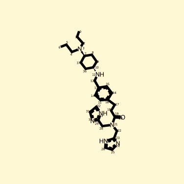 CCCN(CCC)[C@H]1CC[C@H](NCc2ccc(CCC(=O)N(Cc3ncc[nH]3)Cc3ncc[nH]3)cc2)CC1